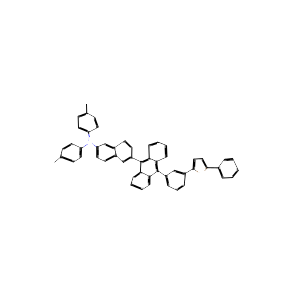 Cc1ccc(N(c2ccc(C)cc2)c2ccc3cc(-c4c5ccccc5c(-c5cccc(-c6ccc(-c7ccccc7)s6)c5)c5ccccc45)ccc3c2)cc1